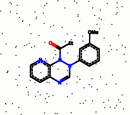 CCC(=O)N1c2ncccc2N=CN1c1cccc(OC)c1